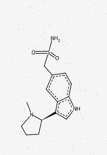 CN1CCC[C@@H]1c1c[nH]c2ccc(CS(N)(=O)=O)cc12